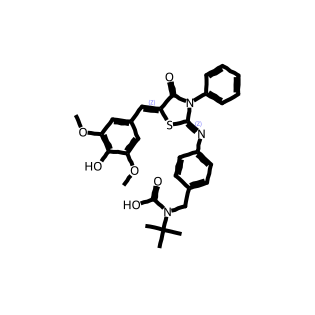 COc1cc(/C=C2\S/C(=N\c3ccc(CN(C(=O)O)C(C)(C)C)cc3)N(c3ccccc3)C2=O)cc(OC)c1O